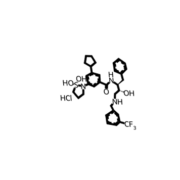 Cl.O=C(N[C@@H](Cc1ccccc1)[C@H](O)CNCc1cccc(C(F)(F)F)c1)c1cc(C2CCCC2)cc(N2CCCS2(O)O)c1